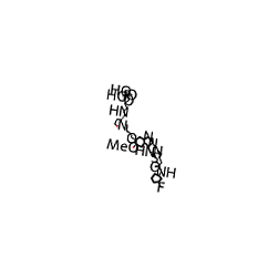 COc1cc2c(Nc3ncc(CC(=O)Nc4cccc(F)c4)s3)ncnc2cc1OCCCN1CCC[C@H]1CNCCOP(=O)(O)O